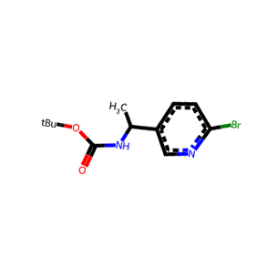 CC(NC(=O)OC(C)(C)C)c1ccc(Br)nc1